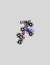 CNN(C(=O)CN1Cc2cccc(OCCCC(=O)N(Cc3ccccc3)Cc3ccccc3)c2N=C1NC(=O)Nc1ccccc1)c1ccccc1C